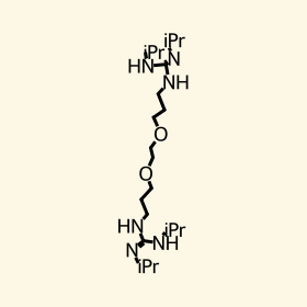 CC(C)N=C(NCCCOCCOCCCNC(=NC(C)C)NC(C)C)NC(C)C